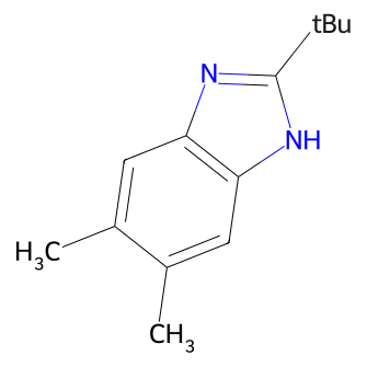 Cc1cc2nc(C(C)(C)C)[nH]c2cc1C